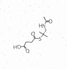 CC(=O)NCC(C)(C)SC(=O)CCC(=O)O